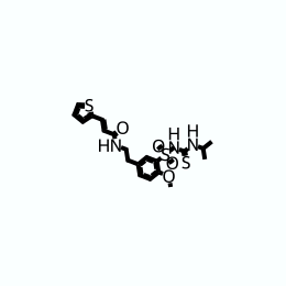 COc1ccc(CCNC(=O)C=Cc2cccs2)cc1S(=O)(=O)NC(=S)NC(C)C